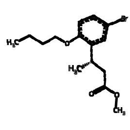 CCCCOc1ccc(Br)cc1[C@@H](C)CC(=O)OC